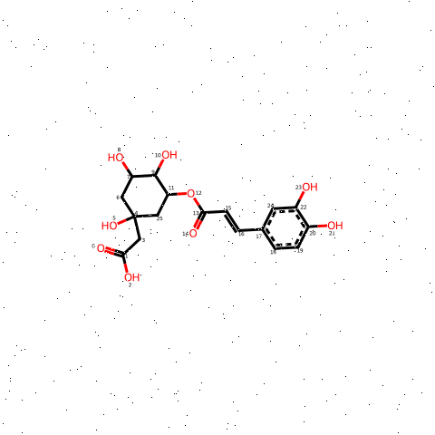 O=C(O)CC1(O)CC(O)C(O)C(OC(=O)/C=C/c2ccc(O)c(O)c2)C1